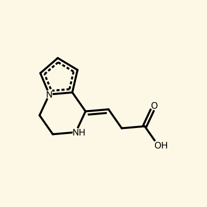 O=C(O)C/C=C1\NCCn2cccc21